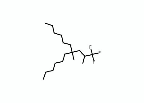 CCCCCCC(C)(CCCCCC)CC(C)C(F)(F)F